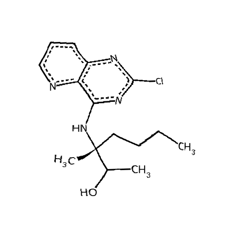 CCCC[C@@](C)(Nc1nc(Cl)nc2cccnc12)C(C)O